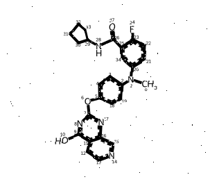 CN(c1ccc(Oc2nc(O)c3ccncc3n2)cc1)c1ccc(F)c(C(=O)NC2CCCC2)c1